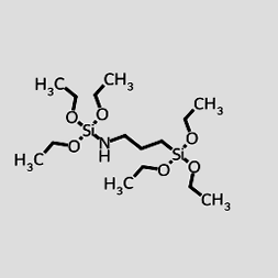 CCO[Si](CCCN[Si](OCC)(OCC)OCC)(OCC)OCC